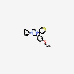 CCOc1cccc(C2(N3CCN(c4ccccc4)CC3)CCSCC2)c1